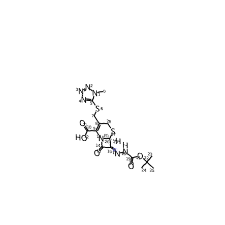 Cn1nnnc1SCC1=C(C(=O)O)N2C(=O)/C(=N/NC(=O)OC(C)(C)C)[C@@H]2SC1